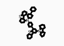 c1ccc(-c2ccc(N(c3ccc(-c4cc(-n5c6ccccc6c6ccccc65)cc5c4sc4ccccc45)cc3)c3cccc4sc5ccccc5c34)cc2)cc1